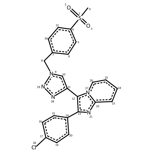 CS(=O)(=O)c1ccc(Cn2cc(-c3c(-c4ccc(Cl)cc4)nc4ccccn34)nn2)cc1